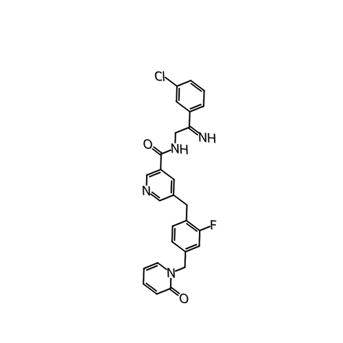 N=C(CNC(=O)c1cncc(Cc2ccc(Cn3ccccc3=O)cc2F)c1)c1cccc(Cl)c1